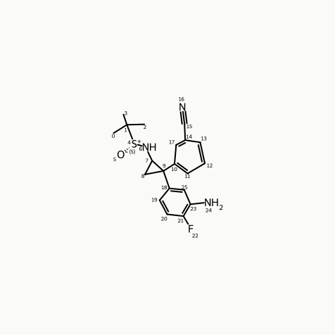 CC(C)(C)[S@@+]([O-])NC1CC1(c1cccc(C#N)c1)c1ccc(F)c(N)c1